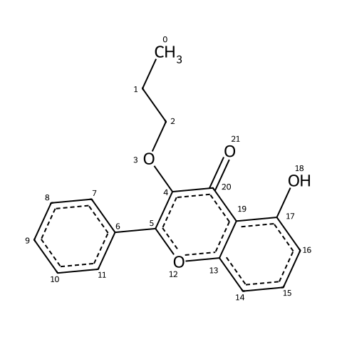 CCCOc1c(-c2ccccc2)oc2cccc(O)c2c1=O